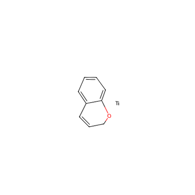 C1=Cc2ccccc2OC1.[Ti]